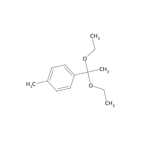 CCOC(C)(OCC)c1ccc(C)cc1